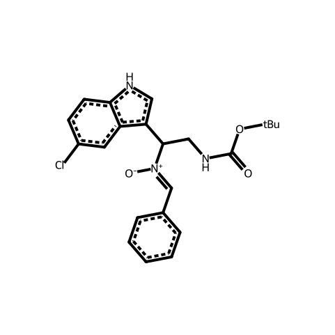 CC(C)(C)OC(=O)NCC(c1c[nH]c2ccc(Cl)cc12)[N+]([O-])=Cc1ccccc1